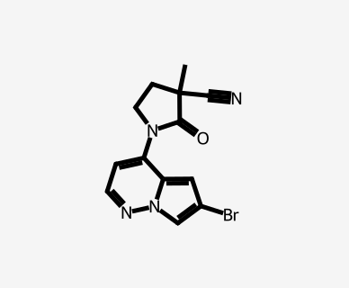 CC1(C#N)CCN(c2ccnn3cc(Br)cc23)C1=O